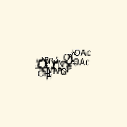 CC(=O)OC[C@H]1O[C@@H](n2cc(Br)c(Nc3ccccc3O)nc2=O)[C@@H](F)C1OC(C)=O